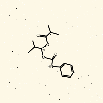 CC(C)C(=O)O[C@@H](OC(=O)Nc1cc[c]cc1)C(C)C